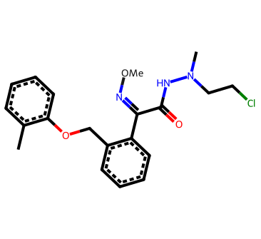 CON=C(C(=O)NN(C)CCCl)c1ccccc1COc1ccccc1C